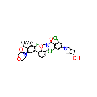 COC(=O)c1cc(F)c(-c2cccc3c2OCN(C(=O)c2c(Cl)cc(N4CC5CC(O)C5C4)cc2Cl)C3)cc1N1C2CCC1COC2